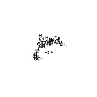 CCc1cc(Nc2nccn3c(-c4ccc(OC)c(F)c4F)cnc23)ccc1C(=O)NCCOCCN(C)CC(=O)O.Cl